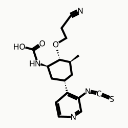 C[C@H]1C[C@H](c2ccncc2N=C=S)C[C@@H](NC(=O)O)[C@@H]1OCCC#N